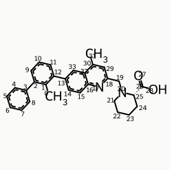 Cc1c(-c2ccccc2)cccc1-c1ccc2nc(CN3CCCC[C@H]3C(=O)O)cc(C)c2c1